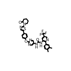 Cc1ccc(-c2ncc(C(F)(F)F)cc2NC(=O)Nc2cnc(Oc3ccc(-c4cnc(N5CCCCC5=O)s4)cc3)nc2)cc1C